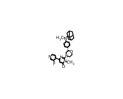 CN(c1ccc([C@H]2CN(c3nc(-c4ccncc4F)cc(=O)n3C)CCO2)cc1)C12CC3CC(CC(C3)C1)C2